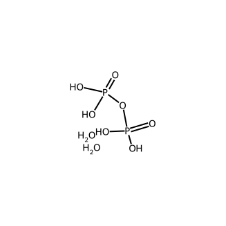 O.O.O=P(O)(O)OP(=O)(O)O